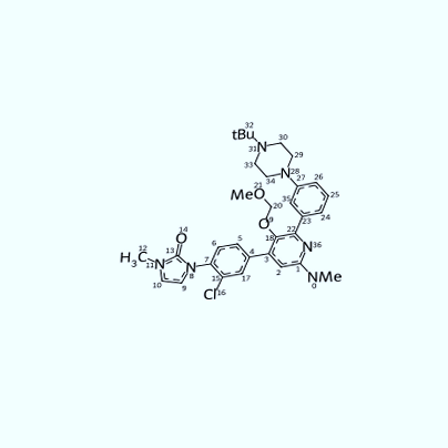 CNc1cc(-c2ccc(-n3ccn(C)c3=O)c(Cl)c2)c(OCOC)c(-c2cccc(N3CCN(C(C)(C)C)CC3)c2)n1